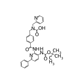 CC(C)(C)OC(=O)Nc1ccc(-c2ccccc2)nc1NC(=O)c1ccc(CN(Cc2ccccn2)C(=O)O)cc1